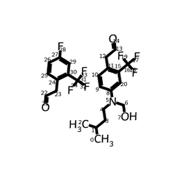 CC(C)CCN(CO)c1ccc(CC=O)c(C(F)(F)F)c1.O=CCc1ccc(F)cc1C(F)(F)F